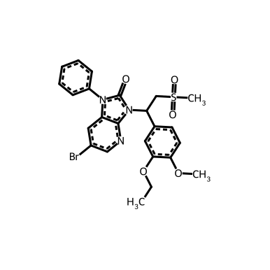 CCOc1cc(C(CS(C)(=O)=O)n2c(=O)n(-c3ccccc3)c3cc(Br)cnc32)ccc1OC